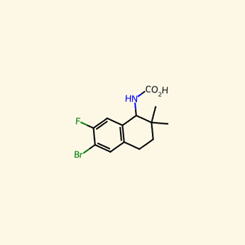 CC1(C)CCc2cc(Br)c(F)cc2C1NC(=O)O